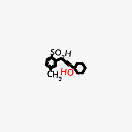 Cc1ccc(S(=O)(=O)O)c(CC#CC2(O)CCCCC2)c1